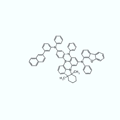 CC12CCCCC1(C)N1c3cc(N(c4ccccc4)c4cccc5c4oc4ccccc45)cc4c3B(c3ccc(N(c5ccccc5)c5cccc(-c6ccc7ccccc7c6)c5)cc3N4c3ccccc3)c3cccc2c31